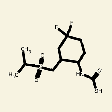 CC(C)S(=O)(=O)CC1CC(F)(F)CCC1NC(=O)O